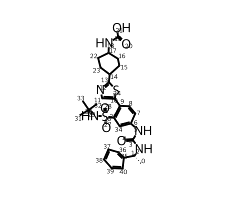 C[C@@H](NC(=O)Nc1ccc(-c2cnc(C3CCC(NC(=O)O)CC3)s2)c(S(=O)(=O)NC(C)(C)C)c1)c1ccccc1